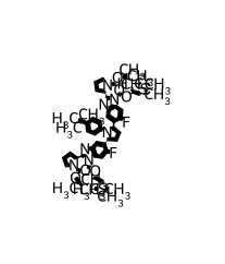 CC(C)(C)OC(=O)N1CCC[C@H]1c1nc2cc([C@H]3CC[C@H](c4cc5nc([C@@H]6CCCN6C(=O)OC(C)(C)C)n(COCCS(C)(C)C)c5cc4F)N3c3ccc(C(C)(C)C)cc3)c(F)cc2n1COCCS(C)(C)C